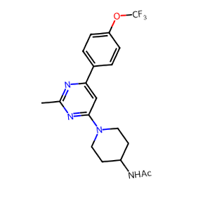 CC(=O)NC1CCN(c2cc(-c3ccc(OC(F)(F)F)cc3)nc(C)n2)CC1